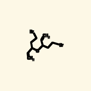 C=CC(CCBr)OC(C=C)CCBr